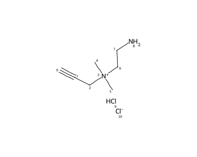 C#CC[N+](C)(C)CCN.Cl.[Cl-]